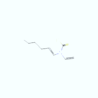 C=CN(C=CCCCC)C(=S)S